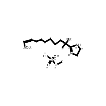 CCCCCCCC/C=C\CCCCCCC(C)(CC)C1=NCCN1.COS(=O)(=O)O